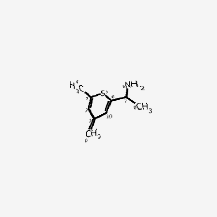 C=C1C=C(C)SC(C(C)N)=C1